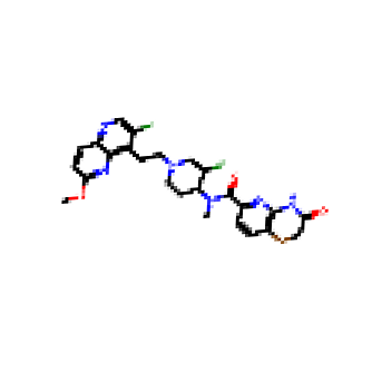 COc1ccc2ncc(F)c(CCN3CCC(N(C)C(=O)c4ccc5c(n4)NC(=O)CS5)C(F)C3)c2n1